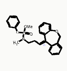 COP(=O)(Oc1ccccc1)N(C)CC/C=C1/c2ccccc2COc2ccccc21